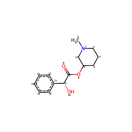 CN1CCCC(OC(=O)[C@H](O)c2ccccc2)C1